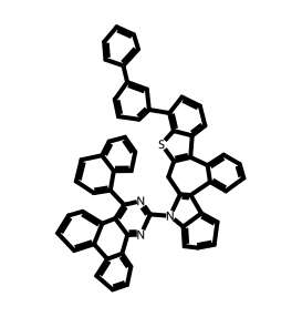 c1ccc(-c2cccc(-c3cccc4c5c(sc34)Cc3c(c4ccccc4n3-c3nc(-c4cccc6ccccc46)c4c6ccccc6c6ccccc6c4n3)-c3ccccc3-5)c2)cc1